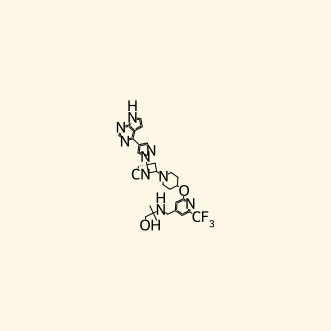 CC(C)(CO)NCc1cc(OC2CCN([C@H]3C[C@@](CC#N)(n4cc(-c5ncnc6[nH]ccc56)cn4)C3)CC2)nc(C(F)(F)F)c1